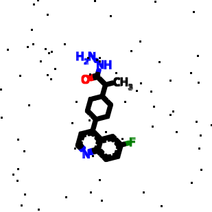 CC(C(=O)NN)C1CCC(c2ccnc3ccc(F)cc23)CC1